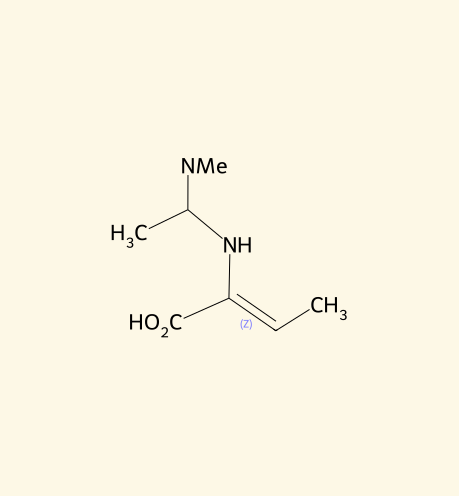 C/C=C(\NC(C)NC)C(=O)O